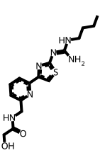 CCCCN/C(N)=N/c1nc(-c2cccc(CNC(=O)CO)n2)cs1